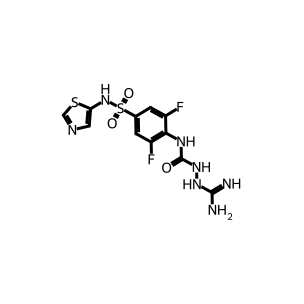 N=C(N)NNC(=O)Nc1c(F)cc(S(=O)(=O)Nc2cncs2)cc1F